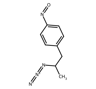 CC(Cc1ccc(N=O)cc1)N=[N+]=[N-]